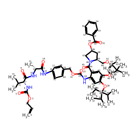 C=CCOC(=O)N[C@@H](C(=O)N[C@H](C)C(=O)Nc1ccc(COC(=O)Nc2cc(O[Si](C(C)C)(C(C)C)C(C)C)c(OC)cc2C(=O)N2C[C@@H](OC(=O)c3ccccc3)C[C@H]2CO[Si](C)(C)C(C)(C)C)cc1)C(C)C